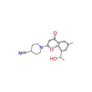 Cc1cc(C(C)O)c2oc(N3CCC(C#N)CC3)cc(=O)c2c1